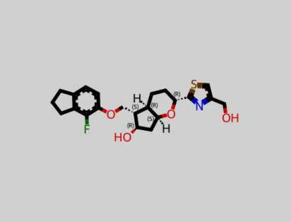 OCc1csc([C@H]2CC[C@@H]3[C@@H](COc4ccc5c(c4F)CCC5)[C@H](O)C[C@@H]3O2)n1